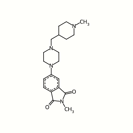 CN1CCC(CN2CCN(c3ccc4c(c3)C(=O)N(C)C4=O)CC2)CC1